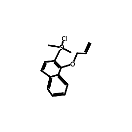 C=CCOc1c([Si](C)(C)Cl)ccc2ccccc12